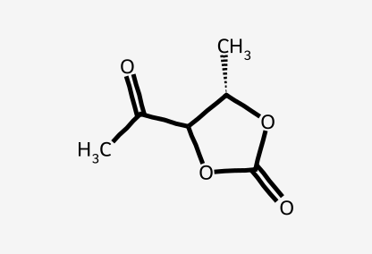 CC(=O)C1OC(=O)O[C@H]1C